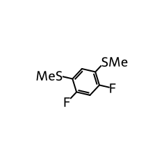 CSc1cc(SC)c(F)cc1F